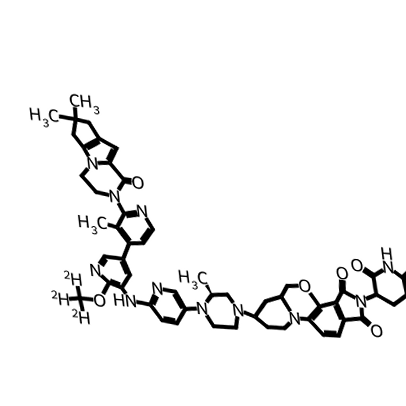 [2H]C([2H])([2H])Oc1ncc(-c2ccnc(N3CCn4c(cc5c4CC(C)(C)C5)C3=O)c2C)cc1Nc1ccc(N2CCN(C3CCN4c5ccc6c(c5OCC4C3)C(=O)N(C3CCC(=O)NC3=O)C6=O)C[C@@H]2C)cn1